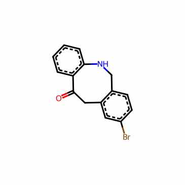 O=C1Cc2cc(Br)ccc2CNc2ccccc21